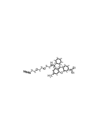 C=c1ccc2c(c1)Oc1cc(N(CC)CC)ccc1C=2c1ccccc1C(=O)NCCOCCOCCN=[N+]=[N-]